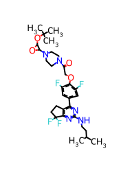 CC(C)CCNc1nc(-c2cc(F)c(OCC(=O)N3CCN(C4OC4OC(C)(C)C)CC3)c(F)c2)c2c(n1)C(F)(F)CC2